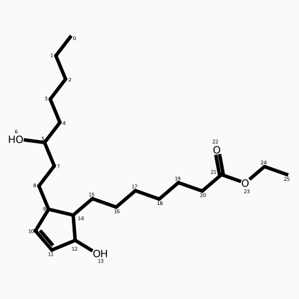 CCCCCC(O)CCC1C=CC(O)C1CCCCCCC(=O)OCC